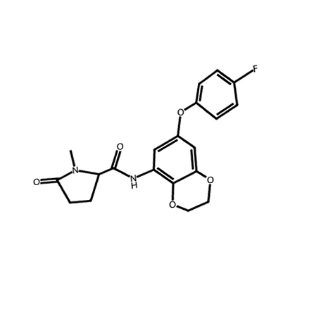 CN1C(=O)CCC1C(=O)Nc1cc(Oc2ccc(F)cc2)cc2c1OCCO2